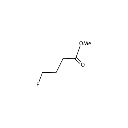 COC(=O)CCCF